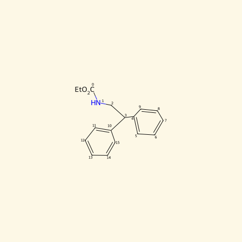 CCOC(=O)NCC(c1ccccc1)c1ccccc1